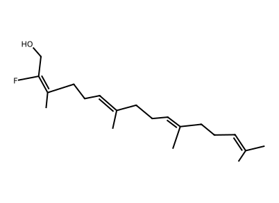 CC(C)=CCC/C(C)=C/CC/C(C)=C/CC/C(C)=C(/F)CO